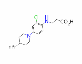 CCCC1CCN(c2ccc(NCCC(=O)O)c(Cl)c2)CC1